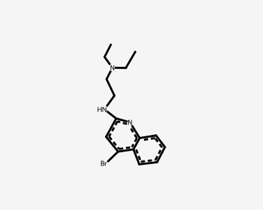 CCN(CC)CCNc1cc(Br)c2ccccc2n1